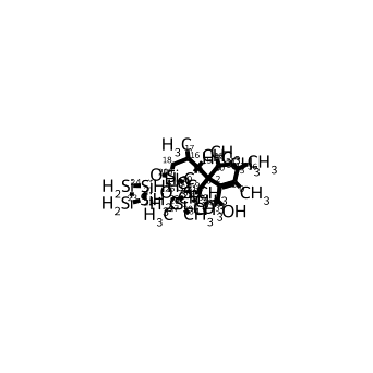 CC(=C(C(=O)O)C(C(C)C)(C(C)C)C(C)(C)C(C)C[Si](O[SiH]1[SiH2][SiH2][SiH2]1)(O[Si](C)(C)C)O[Si](C)(C)C)C(C)C